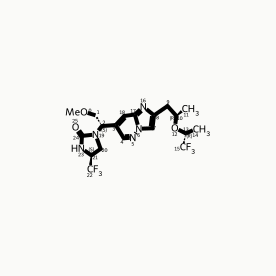 COC[C@H](c1cnn2cc(C[C@@H](C)O[C@H](C)C(F)(F)F)nc2c1)N1C[C@@H](C(F)(F)F)NC1=O